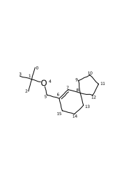 CC(C)(C)OCC1=CC2(CCCC2)CCC1